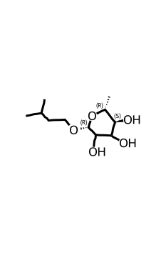 CC(C)CCO[C@@H]1O[C@H](C)[C@@H](O)C(O)C1O